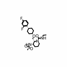 CCNC(=O)N1CCC[C@H](NS(C)(=O)=O)[C@@H]1CO[C@H]1CC[C@@H](c2ccc(F)cc2F)CC1